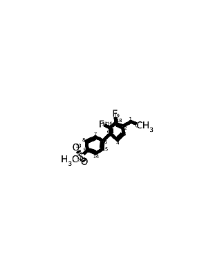 CCc1ccc(-c2ccc(S(C)(=O)=O)cc2)c(F)c1F